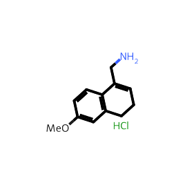 COc1ccc2c(c1)CCC=C2CN.Cl